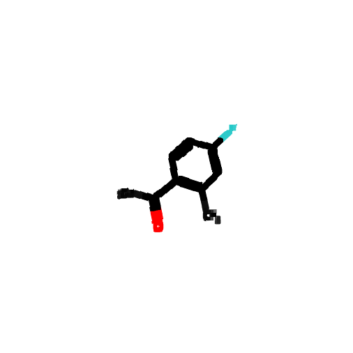 CC(C)(C)C(=O)c1ccc(F)cc1C(F)(F)F